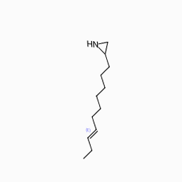 CC/C=C/CCCCCCC1CN1